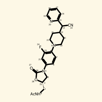 CC(=O)NC[C@H]1CN(c2ccc(N3CCC(C(C#N)c4ccccn4)CC3)c(F)c2)C(=O)O1